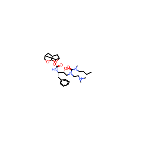 CCCCN(C)C(=O)N(CCN(C)C)C[C@@H](O)[C@H](Cc1ccccc1)NC(=O)OC1C2COC3OC1CC3C2